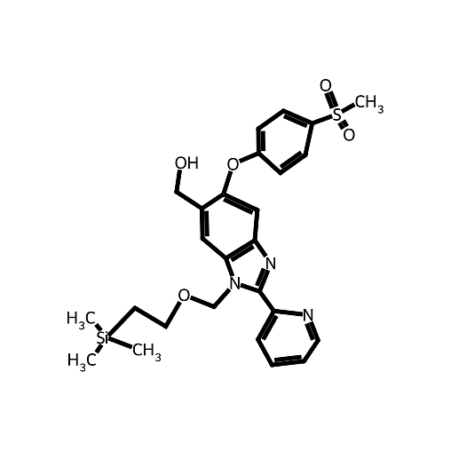 C[Si](C)(C)CCOCn1c(-c2ccccn2)nc2cc(Oc3ccc(S(C)(=O)=O)cc3)c(CO)cc21